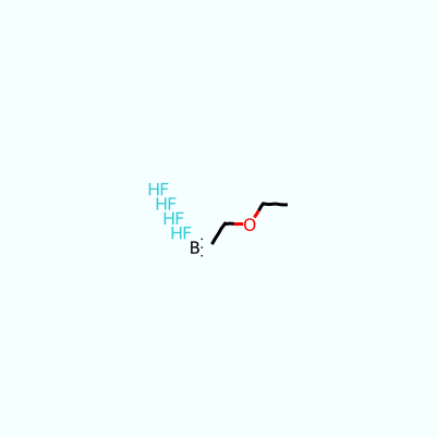 CCOCC.F.F.F.F.[B]